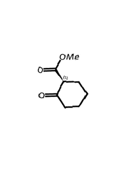 COC(=O)[C@H]1CCCCC1=O